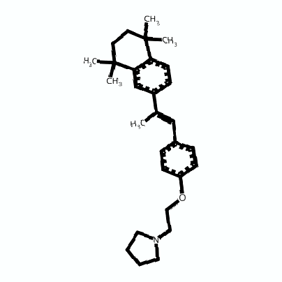 CC(=Cc1ccc(OCCN2CCCC2)cc1)c1ccc2c(c1)C(C)(C)CCC2(C)C